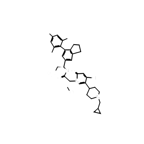 Cc1cc(F)cc(C)c1-c1cc([C@H](CC(=O)O)NC(=O)[C@@H](CC(C)C)n2cc(C3CCN(CC4CC4)CC3)c(C(F)(F)F)cc2=O)cc2c1CCC2